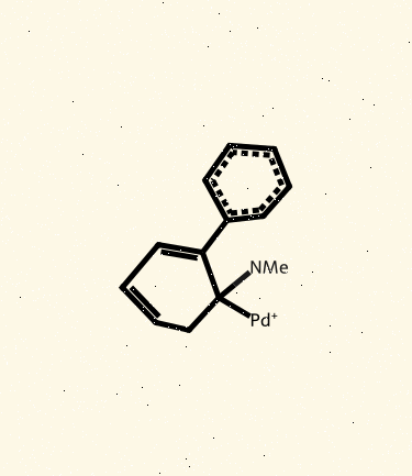 CN[C]1([Pd+])CC=CC=C1c1ccccc1